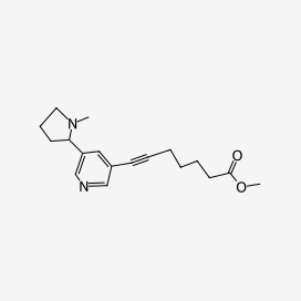 COC(=O)CCCCC#Cc1cncc(C2CCCN2C)c1